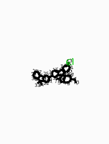 CCC1CC2CC(C)C3(c4ccc(Cl)cc4-c4ccc(-c5ccc6c(c5)-c5ccccc5C6(C)C)cc43)C(C1)C2